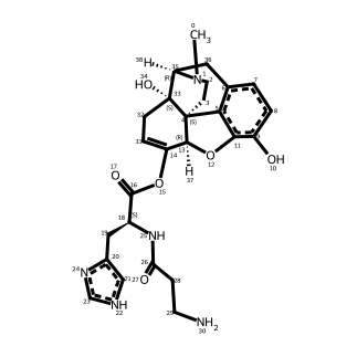 CN1CC[C@]23c4c5ccc(O)c4O[C@H]2C(OC(=O)[C@H](Cc2c[nH]cn2)NC(=O)CCN)=CC[C@@]3(O)[C@H]1C5